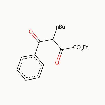 CCCCC(C(=O)C(=O)OCC)C(=O)c1ccccc1